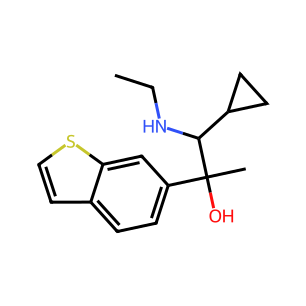 CCNC(C1CC1)C(C)(O)c1ccc2ccsc2c1